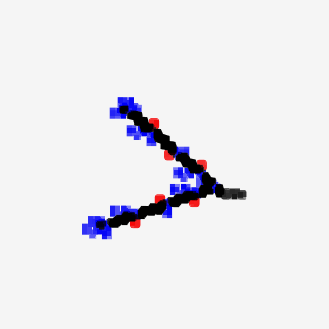 COCCN(CCCNC(=O)[C@@H](N)CCCCNC(=O)CCCCCNC(=O)[C@@H](N)CCCCNC(=N)N)CCCNC(=O)[C@@H](N)CCCCNC(=O)CCCCCNC(=O)[C@@H](N)CCCCNC(=N)N